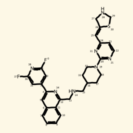 Fc1cc(-c2cc3ccccc3c(CNCC3CCN(c4nccc(C=C5CNCS5)n4)CC3)n2)cc(F)n1